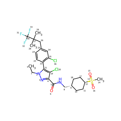 CCn1nc(C(=O)NC[C@H]2CC[C@H](S(C)(=O)=O)CC2)c(Cl)c1-c1ccc(CC(C)(C)C(F)(F)F)cc1Cl